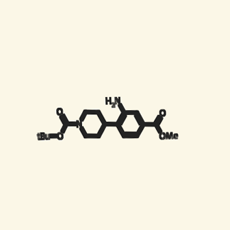 COC(=O)c1ccc(C2CCN(C(=O)OC(C)(C)C)CC2)c(N)c1